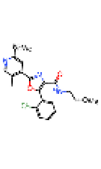 COCCNC(=O)c1nc(-c2cc(NC(C)=O)ncc2C)oc1-c1ccccc1Cl